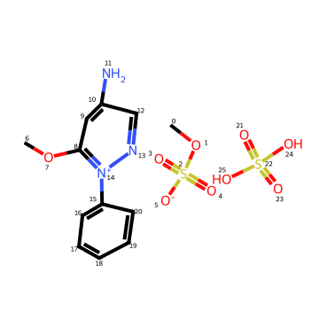 COS(=O)(=O)[O-].COc1cc(N)cn[n+]1-c1ccccc1.O=S(=O)(O)O